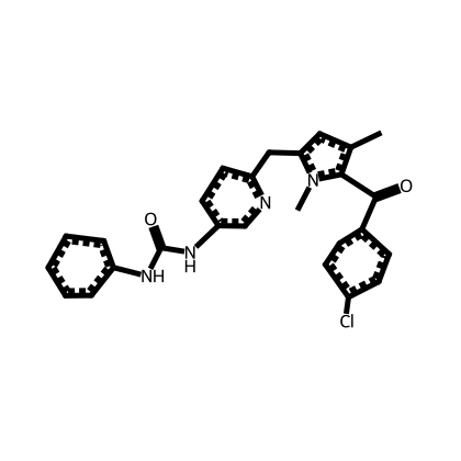 Cc1cc(Cc2ccc(NC(=O)Nc3ccccc3)cn2)n(C)c1C(=O)c1ccc(Cl)cc1